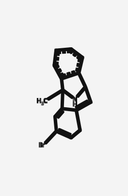 CC12NC(C=C3CC=C(Br)C=C31)c1ccccc12